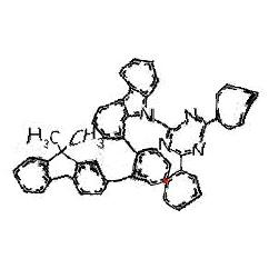 CC1(C)c2ccccc2-c2ccc(-c3ccccc3-c3cccc4c5ccccc5n(-c5nc(-c6ccccc6)nc(-c6ccccc6)n5)c34)cc21